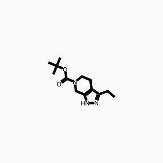 CCc1n[nH]c2c1CCN(C(=O)OC(C)(C)C)C2